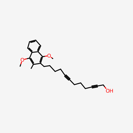 COc1c(C)c(CCCCC#CCCCC#CCO)c(OC)c2ccccc12